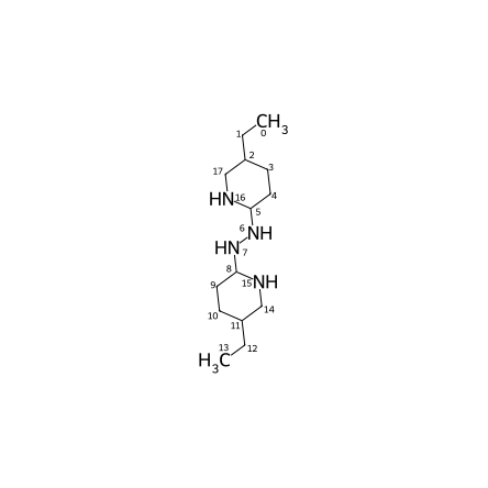 CCC1CCC(NNC2CCC(CC)CN2)NC1